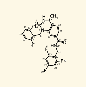 CC1NC(=O)N(Cc2c(F)cccc2Cl)c2cc(C(=O)NCc3c(F)cc(F)cc3F)ccc21